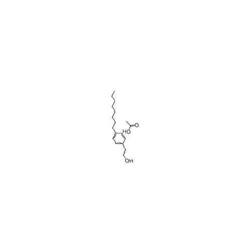 CC(=O)O.CCCCCCCCc1ccc(CCO)cc1